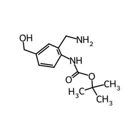 CC(C)(C)OC(=O)Nc1ccc(CO)cc1CN